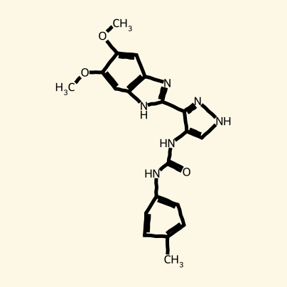 COc1cc2nc(-c3n[nH]cc3NC(=O)Nc3ccc(C)cc3)[nH]c2cc1OC